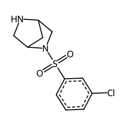 O=S(=O)(c1cccc(Cl)c1)N1CC2CC1CN2